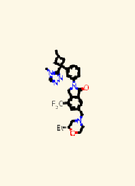 CC[C@@H]1CN(Cc2cc3c(c(C(F)(F)F)c2)CN(c2cccc(C4(c5nncn5C)CC(C)C4)c2)C3=O)CCO1